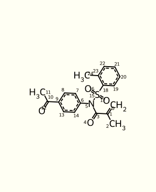 C=C(C)C(=O)N(c1ccc(C(C)=O)cc1)S(=O)(=O)c1ccccc1C